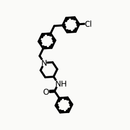 O=C(NC1CCN(Cc2ccc(Cc3ccc(Cl)cc3)cc2)CC1)c1ccccc1